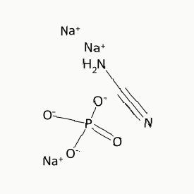 N#CN.O=P([O-])([O-])[O-].[Na+].[Na+].[Na+]